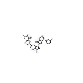 C=C(/C=c1/c(-c2cc3c(-c4cccc(F)c4)cncc3[nH]2)n[nH]/c1=C/C)c1cncc(NC(=C)C(C)C)c1